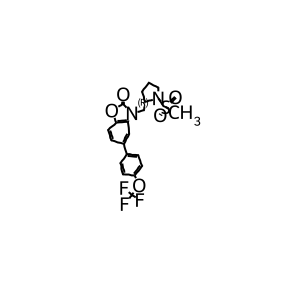 CS(=O)(=O)N1CCC[C@@H]1Cn1c(=O)oc2ccc(-c3ccc(OC(F)(F)F)cc3)cc21